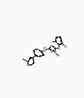 Cc1cc(-c2ccc(Nc3nc(Oc4c(C)cccc4Cl)n(C(C)C)n3)cc2)ccn1